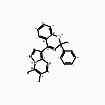 Cc1cnc2c(C3=NC(C)(c4ccccc4)Oc4ccccc43)cnn2c1C